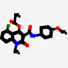 COc1ccc(NC(=O)c2c(OC(C)=O)c3c(Cl)cccc3n(C)c2=O)cc1